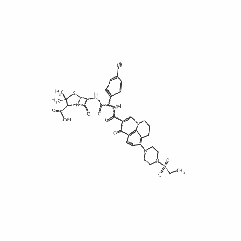 CCS(=O)(=O)N1CCN(c2ccc3c(=O)c(C(=O)NC(C(=O)NC4C(=O)N5C4SC(C)(C)C5C(=O)O)c4ccc(O)cc4)cn4c3c2CCC4)CC1